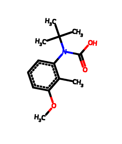 COc1cccc(N(C(=O)O)C(C)(C)C)c1C